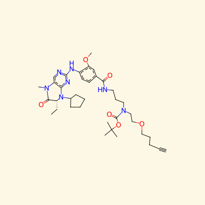 C#CCCCOCCN(CCCNC(=O)c1ccc(Nc2ncc3c(n2)N(C2CCCC2)[C@H](CC)C(=O)N3C)c(OC)c1)C(=O)OC(C)(C)C